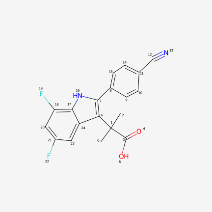 CC(C)(C(=O)O)c1c(-c2ccc(C#N)cc2)[nH]c2c(F)cc(F)cc12